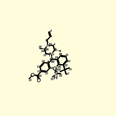 C=CCN1C[C@H](C)N([C@H](c2ccc(C(=O)OC)cc2)c2cccc(C(C)(C)C)c2O[SiH](C)C)C[C@H]1C